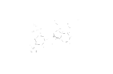 COC(=O)c1cccc2c1c(C=O)cn2Cc1cc(C(F)(F)F)cc(C(F)(F)F)c1